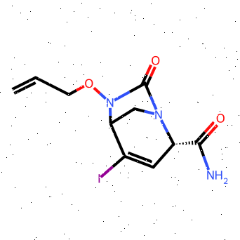 C=CCON1C(=O)N2CC1C(I)=C[C@H]2C(N)=O